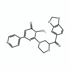 Cn1c(N2CCOC(C(=O)c3ccc4c(c3)OCO4)C2)nc(-c2ccncc2)cc1=O